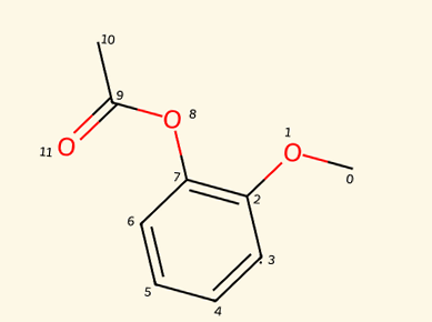 COc1[c]cccc1OC(C)=O